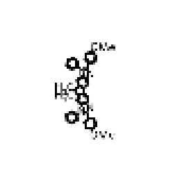 COc1ccc(-c2nc3c(n2-c2ccccc2)=CC2C(C=3)c3cc4nc(C5=CCC(OC)C=C5)n(-c5ccccc5)c4cc3C2(C)C)cc1